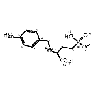 CCCCCCCCCc1ccc(CNC(CCP(=O)(O)O)C(=O)O)cc1